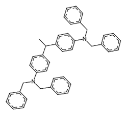 CC(c1ccc(N(Cc2ccccc2)Cc2ccccc2)cc1)c1ccc(N(Cc2ccccc2)Cc2ccccc2)cc1